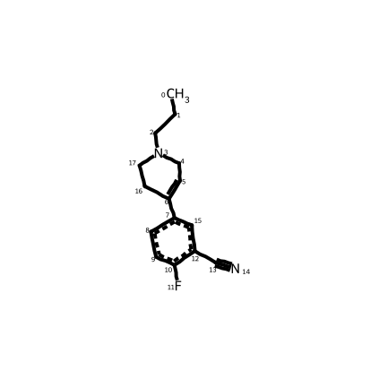 CCCN1CC=C(c2ccc(F)c(C#N)c2)CC1